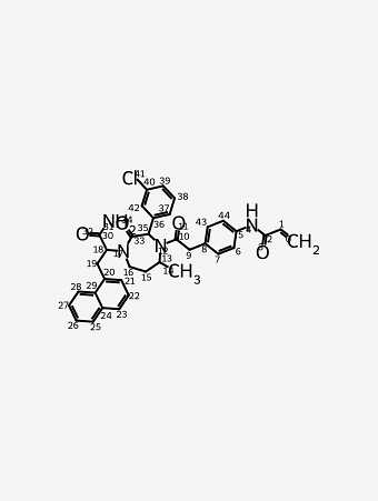 C=CC(=O)Nc1ccc(CC(=O)N2C(C)CCN(C(Cc3cccc4ccccc34)C(N)=O)C(=O)C2c2cccc(Cl)c2)cc1